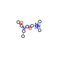 c1ccc(-c2ccc(N(c3ccc4c(c3)oc3ccccc34)c3ccc4c(c3)oc3cc(-c5nc(-c6ccccc6)nc(-c6ccccc6)n5)ccc34)cc2)cc1